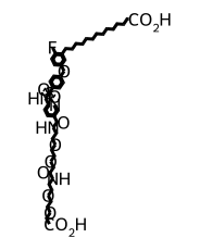 O=C(O)CCCCCCCCCCCCCc1cc(Oc2ccc(S(=O)(=O)Nc3ccc(C(=O)NCCOCCOCC(=O)NCCOCCOCC(=O)O)cn3)cc2)ccc1F